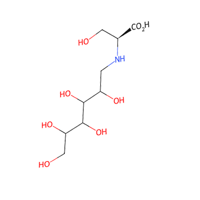 O=C(O)[C@H](CO)NCC(O)C(O)C(O)C(O)CO